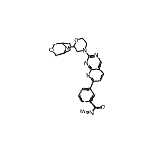 CNC(=O)c1cccc(-c2ccc3cnc(N4CCOC(N5C6CCC5COC6)C4)nc3n2)c1